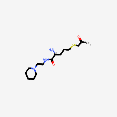 N[C@@H](CCCSCC(=O)C(F)(F)F)C(=O)NCCN1CCCCC1